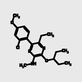 CCc1nc(OC(CC)CC)c(NC)nc1-c1ccc(OC)cc1Cl